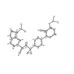 CC(C)Cn1cncc(-c2ccc(C3(NC(=O)c4ncc5cnn(C(C)C)c5n4)CC3)cc2)c1=O